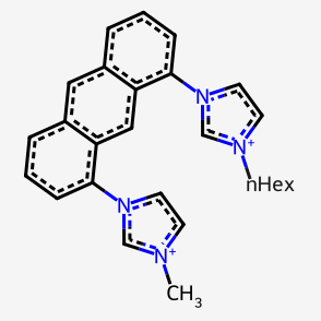 CCCCCC[n+]1ccn(-c2cccc3cc4cccc(-n5cc[n+](C)c5)c4cc23)c1